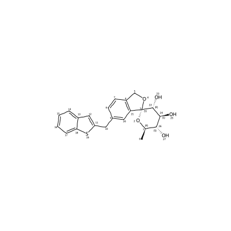 C[C@H]1O[C@]2(OCc3ccc(Cc4cc5ccccc5s4)cc32)[C@H](O)[C@@H](O)[C@@H]1O